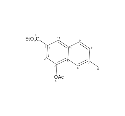 CCOC(=O)c1cc(OC(C)=O)c2cc(C)ccc2c1